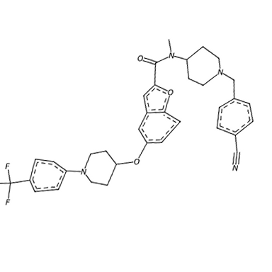 CN(C(=O)c1cc2cc(OC3CCN(c4ccc(C(F)(F)F)cc4)CC3)ccc2o1)C1CCN(Cc2ccc(C#N)cc2)CC1